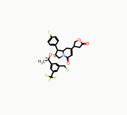 C[C@@H](O[C@H]1CN2C(=O)C=C(C3COC(=O)C3)CC2C1c1ccc(F)cc1)c1cc(CF)cc(C(F)(F)F)c1